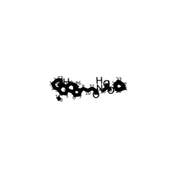 CC[C@H]1CC2C3CCC(CCCC(=O)NCC(=O)Oc4ccccc4)C3(C)CC[C@@H]2C2(C)CCCCC12